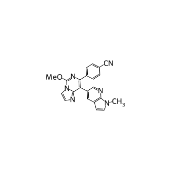 COc1nc(-c2ccc(C#N)cc2)c(-c2cnc3c(ccn3C)c2)c2nccn12